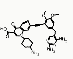 COc1cc(Cc2cnc(N)nc2N)cc(C#Cc2ccc3c(=O)c(C(=O)O)cn(C4CCC(N)CC4)c3c2)c1OC